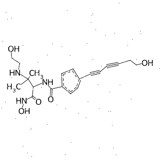 CC(C)(NCCO)C(NC(=O)c1ccc(C#CC#CCCO)cc1)C(=O)NO